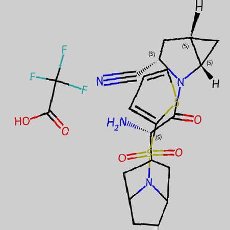 N#C[C@@H]1C[C@@H]2C[C@@H]2N1C(=O)[C@@H](N)C1CC2CCC(C1)N2S(=O)(=O)c1cccs1.O=C(O)C(F)(F)F